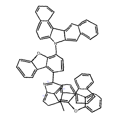 CC1C/C=C(c2ccc3c(c2)oc2ccccc23)/N=C(c2ccc(-n3c4cc5ccccc5cc4c4c5ccccc5ccc43)c3oc4ccccc4c23)\N=C/1c1cccc2ccccc12